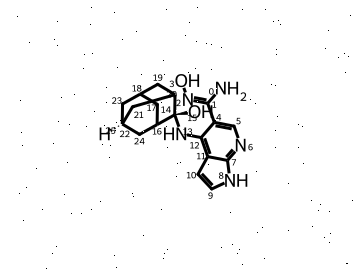 NC(=NO)c1cnc2[nH]ccc2c1N[C@]1(O)C2CC3CC1C[C@H](C3)C2